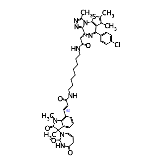 Cc1sc2c(c1C)C(c1ccc(Cl)cc1)=N[C@@H](CC(=O)NCCCCCCCCNC(=O)/C=C/c1cccc3c1N(C)C(=O)C3(C)N1C=CCC(=O)NC1=O)c1nnc(C)n1-2